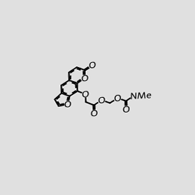 CNC(=O)OCOC(=O)COc1c2occc2cc2ccc(=O)oc12